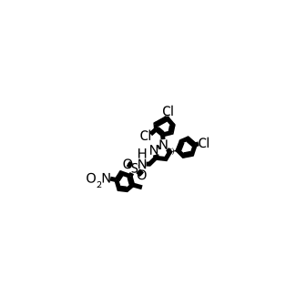 Cc1ccc([N+](=O)[O-])cc1S(=O)(=O)NCC1=NN(c2ccc(Cl)cc2Cl)[C@H](c2ccc(Cl)cc2)C1